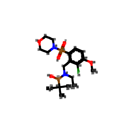 CCN(Cc1c(S(=O)(=O)N2CCOCC2)ccc(OC)c1F)[S+]([O-])C(C)(C)C